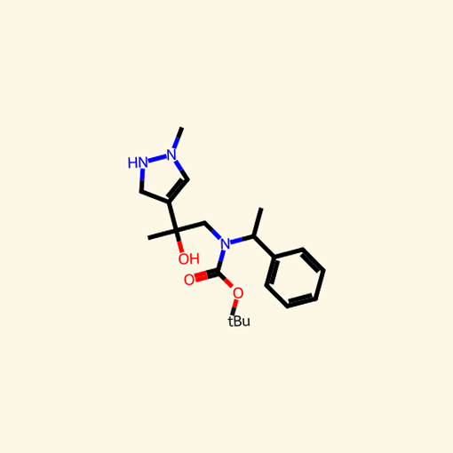 CC(c1ccccc1)N(CC(C)(O)C1=CN(C)NC1)C(=O)OC(C)(C)C